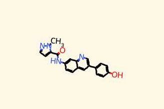 Cn1nccc1C(=O)Nc1ccc2cc(-c3ccc(O)cc3)cnc2c1